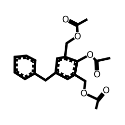 CC(=O)OCc1cc(Cc2ccccc2)cc(COC(C)=O)c1OC(C)=O